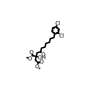 COC(=O)CC(O)(CC(=O)CCCCCCc1ccc(Cl)cc1Cl)C(=O)OC